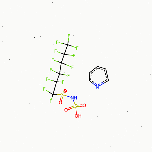 O=S(=O)(O)NS(=O)(=O)C(F)(F)C(F)(F)C(F)(F)C(F)(F)C(F)(F)C(F)(F)F.c1ccncc1